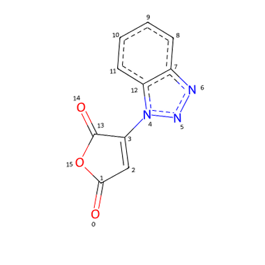 O=C1C=C(n2nnc3ccccc32)C(=O)O1